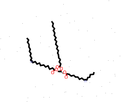 CCCCC/C=C\CCCCCCCC(=O)OC[C@H](COC(=O)CCCCCCCCC/C=C\CCCCCCCCCC)OC(=O)CCCCCCCCCCCCCCCCCCCC